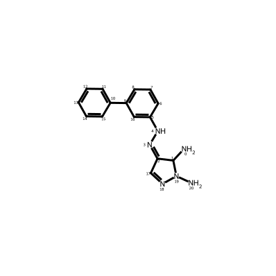 NC1C(=NNc2cccc(-c3ccccc3)c2)C=NN1N